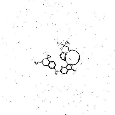 CN1Cc2cc(Nc3ncc4c(=O)n5n(c4n3)-c3ccc4c(c3)N(CCC/C=C\C5)CC(C)(C)O4)ccc2C2(CC2)C1